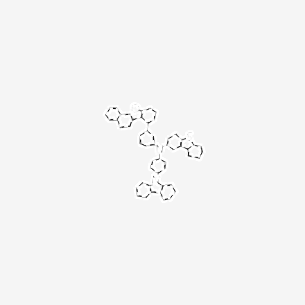 c1cc(-c2cccc3oc4c5ccccc5ccc4c23)cc(N(c2ccc(-n3c4ccccc4c4ccccc43)cc2)c2ccc3sc4ccccc4c3c2)c1